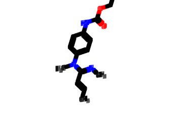 C/C=C/C(=NC)N(C)c1ccc(NC(=O)OCC)cc1